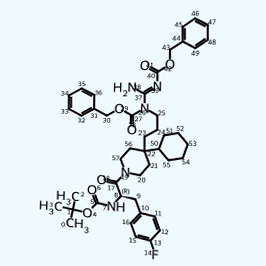 CC(C)(C)OC(=O)N[C@H](Cc1ccc(F)cc1)C(=O)N1CCC(CCCN(C(=O)OCc2ccccc2)C(N)=NC(=O)OCc2ccccc2)(C2CCCCC2)CC1